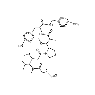 CCC(C)C(C(CC(=O)N1CCCC1C(OC)C(C)C(=O)NC(Cc1ccc(O)cc1)C(=O)NCc1ccc(N)cc1)OC)N(C)C(=O)CNC=O